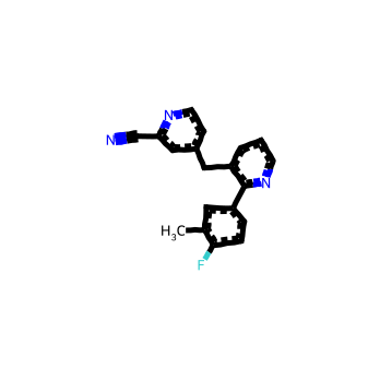 Cc1cc(-c2ncccc2Cc2ccnc(C#N)c2)ccc1F